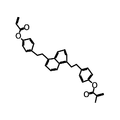 C=CC(=O)Oc1ccc(CCc2cccc3c(CCc4ccc(OC(=O)C(=C)C)cc4)cccc23)cc1